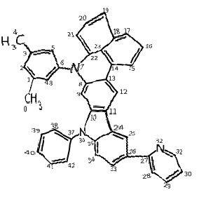 Cc1cc(C)cc(N2c3cc4c(cc3-c3cccc5cccc2c35)c2cc(-c3ccccn3)ccc2n4-c2ccccc2)c1